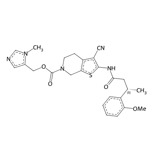 COc1ccccc1[C@@H](C)CC(=O)Nc1sc2c(c1C#N)CCN(C(=O)OCc1cncn1C)C2